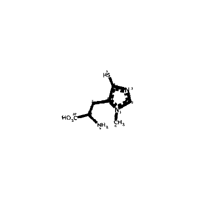 Cn1cnc(S)c1CC(N)C(=O)O